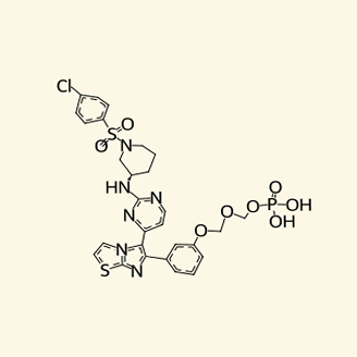 O=P(O)(O)OCOCOc1cccc(-c2nc3sccn3c2-c2ccnc(N[C@@H]3CCCN(S(=O)(=O)c4ccc(Cl)cc4)C3)n2)c1